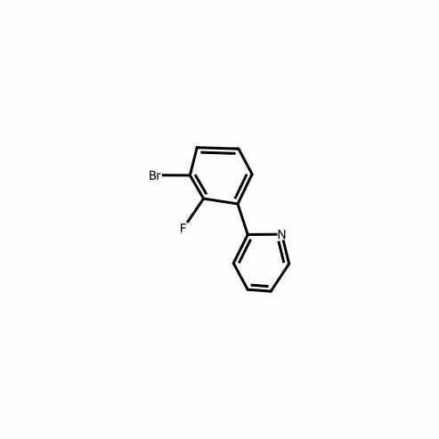 Fc1c(Br)cccc1-c1ccccn1